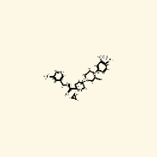 CC1CN([C@@H]2CC[C@@](C(=O)NCc3cncc(C(F)(F)F)c3)(C3CC3)OC2)CCN1c1ccc(F)c(C(=O)O)c1